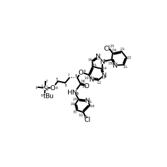 CC(C)(C)[Si](C)(C)OCCC[C@H](Oc1ncnc2c1cnn2-c1ncccc1Cl)C(=O)Nc1ccc(Cl)cn1